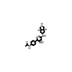 CC(=O)Nc1ccc(-c2ccc(N[C@@H]3C[C@H]4CNC[C@H]4C3)nn2)cc1.Cl.Cl